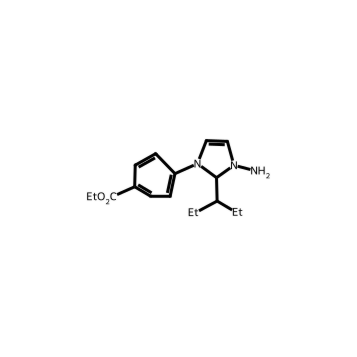 CCOC(=O)c1ccc(N2C=CN(N)C2C(CC)CC)cc1